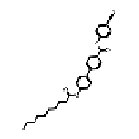 CCCCCCCCCC(=O)Oc1ccc(-c2ccc(C(=O)Sc3ccc(C#N)cc3)cc2)cc1